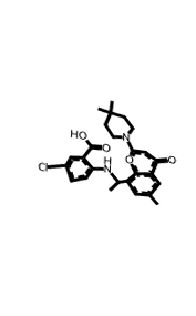 Cc1cc(C(C)Nc2ccc(Cl)cc2C(=O)O)c2oc(N3CCC(C)(C)CC3)cc(=O)c2c1